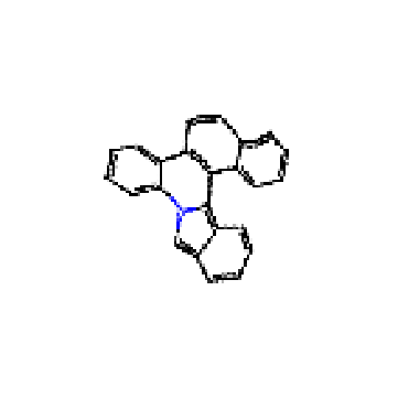 c1ccc2c(c1)ccc1c3ccccc3n3cc4ccccc4c3c21